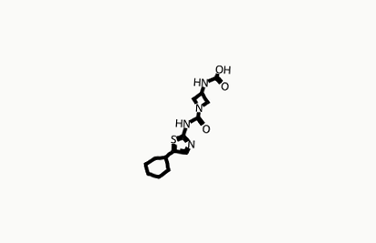 O=C(O)NC1CN(C(=O)Nc2ncc(C3CCCCC3)s2)C1